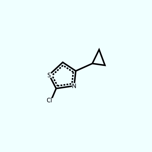 Clc1nc(C2CC2)cs1